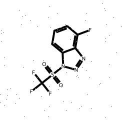 O=S(=O)(n1nnc2c(F)cccc21)C(F)(F)F